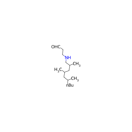 CCCCC(C)CC(C)CC(C)CNCCC=O